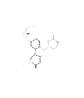 CCS(=O)(=O)Nc1ccc(CN2CCCC(N)C2)c(-c2cn(C)c(=O)cc2OC)c1.Cl